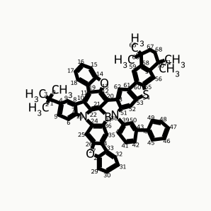 CC(C)(C)c1ccc2c(c1)c1c3c(oc4ccccc43)c3c4c1n2-c1cc2oc5ccccc5c2cc1B4N(c1cccc(-c2ccccc2)c1)c1cc2sc4cc5c(cc4c2cc1-3)C(C)(C)CCC5(C)C